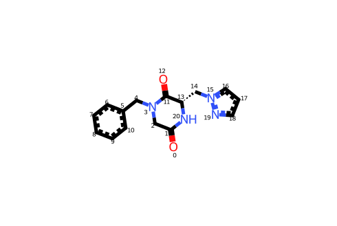 O=C1CN(Cc2ccccc2)C(=O)[C@H](Cn2cccn2)N1